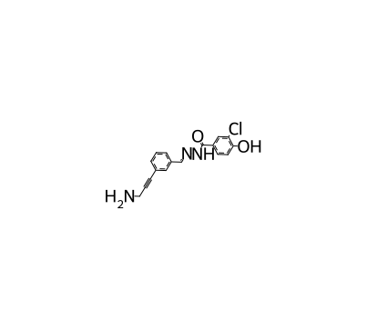 NCC#Cc1cccc(/C=N/NC(=O)c2ccc(O)c(Cl)c2)c1